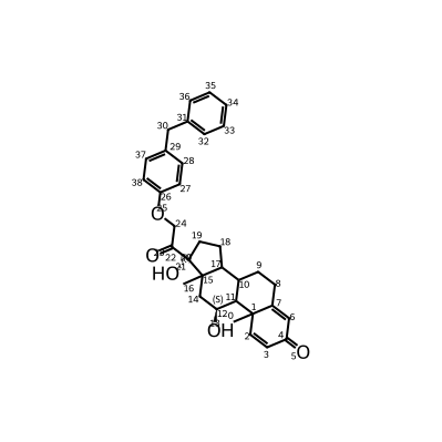 CC12C=CC(=O)C=C1CCC1C2[C@@H](O)CC2(C)C1CC[C@]2(O)C(=O)COc1ccc(Cc2ccccc2)cc1